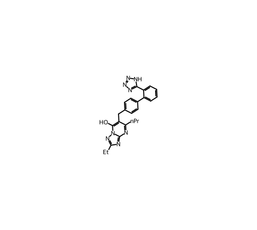 CCCc1nc2nc(CC)nn2c(O)c1Cc1ccc(-c2ccccc2-c2nnn[nH]2)cc1